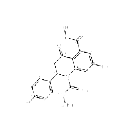 CC(C)(C)OC(=O)c1cc(F)cc2c1C(=O)CC(c1ccc(F)cc1)N2C(=O)OC(C)(C)C